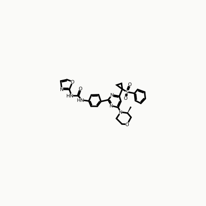 C[C@H]1COCCN1c1cc(C2(S(=O)(=O)c3ccccc3)CC2)nc(-c2ccc(NC(=O)Nc3ncco3)cc2)n1